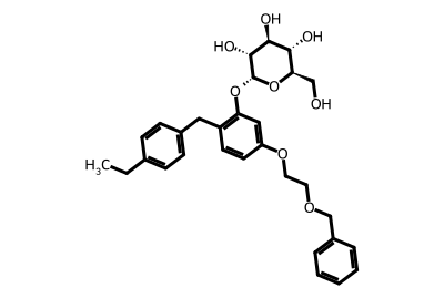 CCc1ccc(Cc2ccc(OCCOCc3ccccc3)cc2O[C@H]2O[C@H](CO)[C@@H](O)[C@H](O)[C@H]2O)cc1